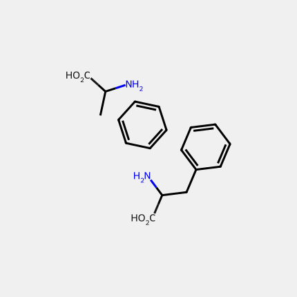 CC(N)C(=O)O.NC(Cc1ccccc1)C(=O)O.c1ccccc1